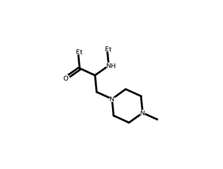 CCNC(CN1CCN(C)CC1)C(=O)CC